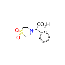 O=C(O)C(c1ccccc1)N1CCS(=O)(=O)CC1